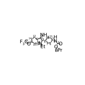 CCCOC(=O)Nc1ccc(-c2c(N)c3ccc(OC(F)(F)F)cc3n2CC)cc1